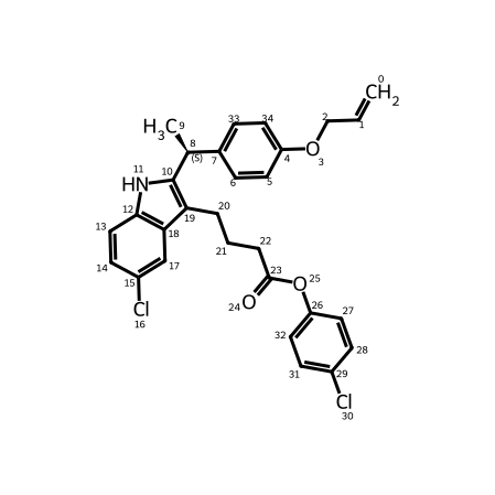 C=CCOc1ccc([C@H](C)c2[nH]c3ccc(Cl)cc3c2CCCC(=O)Oc2ccc(Cl)cc2)cc1